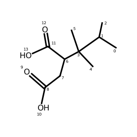 CC(C)C(C)(C)C(CC(=O)O)C(=O)O